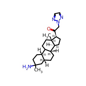 CC1(N)CC[C@@H]2C3CC[C@]4(C)[C@@H](C(=O)Cn5nccn5)CC[C@H]4[C@@H]3CC[C@@H]2C1